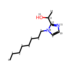 CCCCCCCCn1ccnc1C(C)O